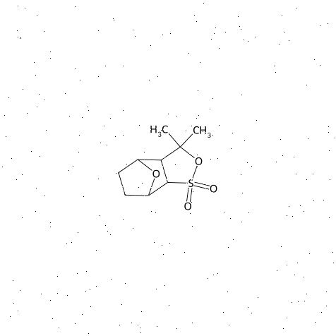 CC1(C)OS(=O)(=O)C2C3CCC(O3)C21